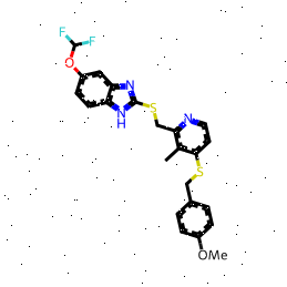 COc1ccc(CSc2ccnc(CSc3nc4cc(OC(F)F)ccc4[nH]3)c2C)cc1